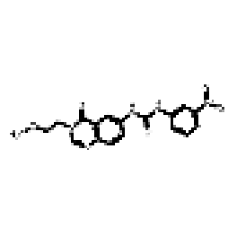 COCCn1cnc2ccc(NC(=O)Nc3cccc([N+](=O)[O-])c3)cc2c1=O